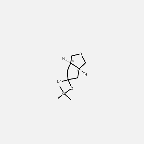 C[Si](C)(C)OC1(C#N)C[C@H]2COC[C@H]2C1